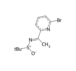 C/C(=N\[S+]([O-])C(C)(C)C)c1cccc(Br)n1